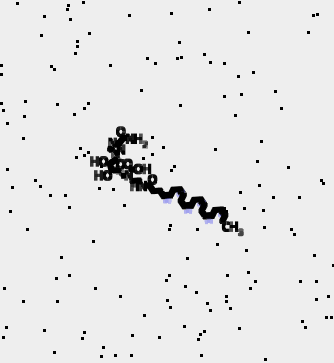 CC/C=C\C/C=C\C/C=C\C/C=C\C/C=C\C/C=C\CCC(=O)NCCN(C[C@H]1O[C@@H](n2cnc(C(N)=O)n2)[C@H](O)[C@@H]1O)C(=O)O